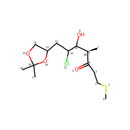 CSCCC(=O)[C@H](C)C(O)C(Cl)CC1COC(C)(C)O1